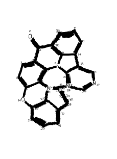 O=c1c2ccc3c4c2n2c5c1cccc5c1cnc[n+](c12)[N+]41c2c(cccc2-c2cccc[n+]21)O3